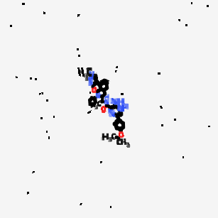 CC(C)Oc1ccc(-c2cnc(N)c(C(=O)NC(C)c3cc4cccc(-c5cnn(C)c5)c4c(=O)n3-c3ccccc3)n2)cc1